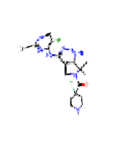 CCc1ncc(F)c(Nc2n[nH]c3c2CN(C(=O)C2(F)CCN(C)CC2)C3(C)C)n1